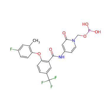 Cc1cc(F)ccc1Oc1ccc(C(F)(F)F)cc1C(=O)Nc1ccn(COP(O)O)c(=O)c1